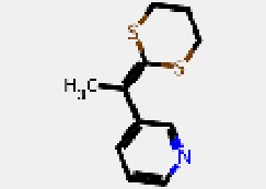 CC(=C1SCCCS1)c1cccnc1